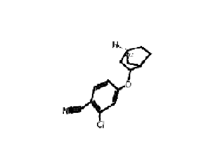 N#Cc1ccc(OC2C[C@H]3CCC2C3)cc1Cl